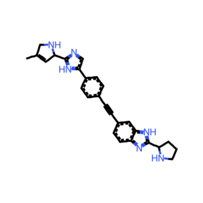 CC1=CC(c2ncc(-c3ccc(C#Cc4ccc5nc(C6CCCN6)[nH]c5c4)cc3)[nH]2)NC1